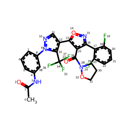 CC(=O)Nc1cccc(-n2ncc(-c3onc(-c4c(F)cccc4Cl)c3C(=O)N3CCCO3)c2C(F)(F)F)c1